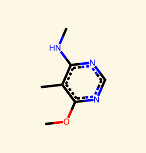 CNc1ncnc(OC)c1C